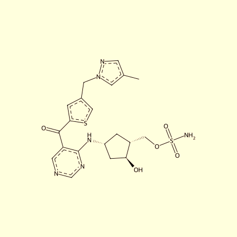 Cc1cnn(Cc2csc(C(=O)c3cncnc3N[C@@H]3C[C@H](COS(N)(=O)=O)[C@@H](O)C3)c2)c1